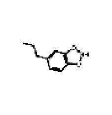 CCCc1ccc2c(c1)OBO2